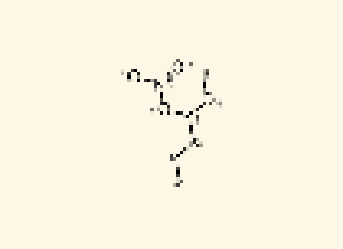 CCCC(OC)O[N+](=O)[O-]